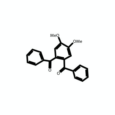 COc1cc(C(=O)c2ccccc2)c(C(=O)c2ccccc2)cc1OC